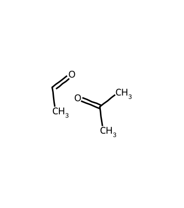 CC(C)=O.CC=O